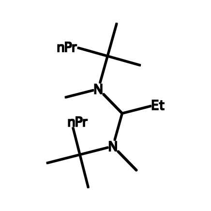 CCCC(C)(C)N(C)C(CC)N(C)C(C)(C)CCC